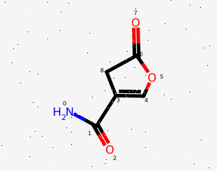 NC(=O)C1=COC(=O)C1